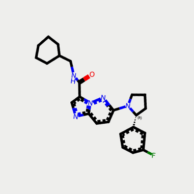 O=C(NCC1CCCCC1)c1cnc2ccc(N3CCC[C@@H]3c3cccc(F)c3)nn12